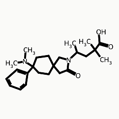 CC(CC(C)(C)C(=O)O)N1CC2(CCC(c3ccccc3)(N(C)C)CC2)CC1=O